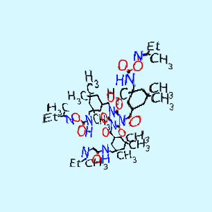 CC/C(C)=N/CC(=O)NCC1(C)CC(C(=O)n2c(=O)n(C(=O)C3CC(C)(C)CC(C)(CNC(=O)O/N=C(\C)CC)C3)c(=O)n(C(=O)C3CC(C)(C)CC(C)(CNC(=O)O/N=C(\C)CC)C3)c2=O)CC(C)(C)C1